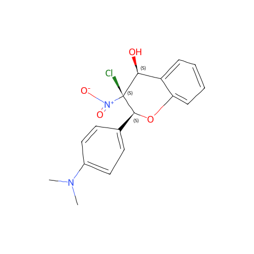 CN(C)c1ccc([C@@H]2Oc3ccccc3[C@H](O)[C@@]2(Cl)[N+](=O)[O-])cc1